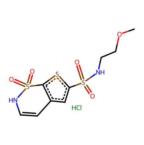 COCCNS(=O)(=O)c1cc2c(s1)S(=O)(=O)NC=C2.Cl